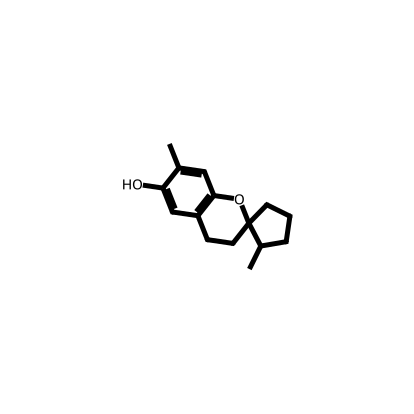 Cc1cc2c(cc1O)CCC1(CCCC1C)O2